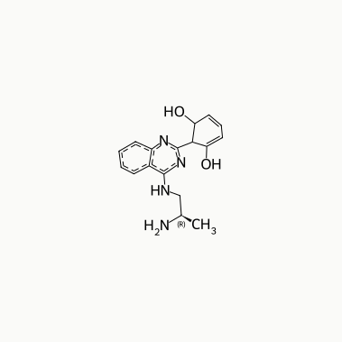 C[C@@H](N)CNc1nc(C2C(O)=CC=CC2O)nc2ccccc12